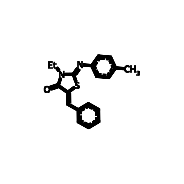 CCN1C(=O)C(=Cc2ccccc2)SC1=Nc1ccc(C)cc1